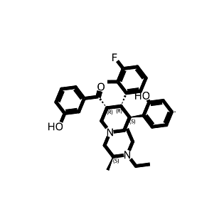 CCN(CC)[C@@H](C)CN1C[C@H](C(=O)c2cccc(O)c2)[C@H](c2cccc(F)c2C)[C@@H](c2cc[c]cc2O)C1